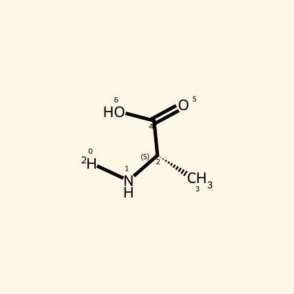 [2H]N[C@@H](C)C(=O)O